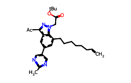 C=CCCCCCCc1cc(-c2cnc(C)nc2)cc2c(C(C)=O)nn(CC(=O)OC(C)(C)C)c12